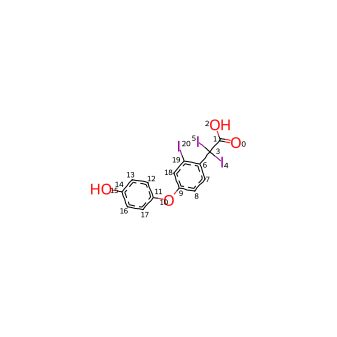 O=C(O)C(I)(I)c1ccc(Oc2ccc(O)cc2)cc1I